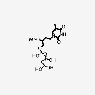 COC(CCn1cc(C)c(=O)[nH]c1=O)COP(O)OP(O)OP(O)O